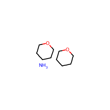 C1CCOCC1.C1CCOCC1.N